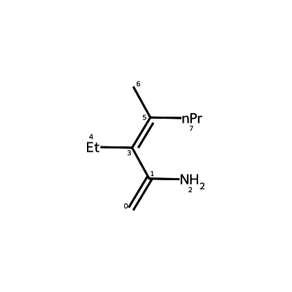 C=C(N)/C(CC)=C(/C)CCC